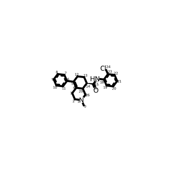 CN1CCC2=C(c3ccccc3)CC[C@@H](C(=O)Nc3ccccc3Cl)C2C1